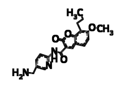 CCCc1c(OC)ccc2cc(C(=O)Nc3ccc(CN)cn3)c(=O)oc12